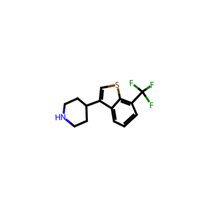 FC(F)(F)c1cccc2c(C3CCNCC3)csc12